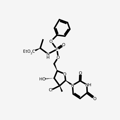 CCOC(=O)[C@@H](C)NP(=O)(OC[C@H]1O[C@@H](n2ccc(=O)[nH]c2=O)[C@](C)(Cl)[C@@H]1O)Oc1ccccc1